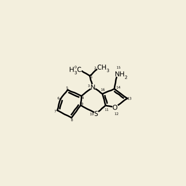 CC(C)N1c2ccccc2Sc2occ(N)c21